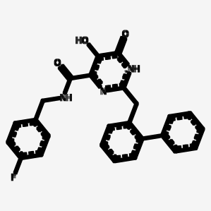 O=C(NCc1ccc(F)cc1)c1nc(Cc2ccccc2-c2ccccc2)[nH]c(=O)c1O